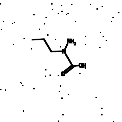 CCCN(N)C(=O)O